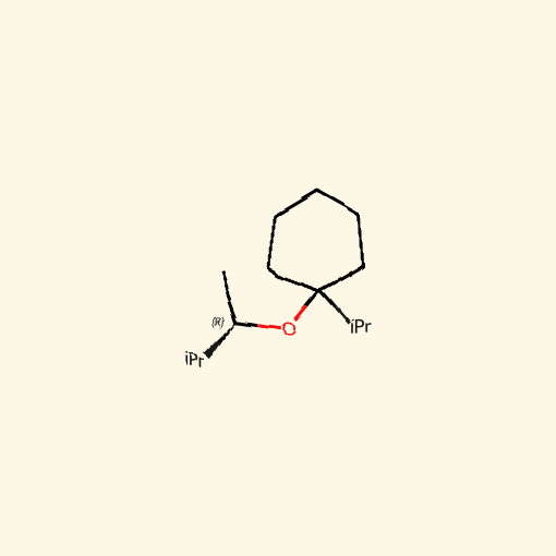 CC(C)[C@@H](C)OC1(C(C)C)CCCCC1